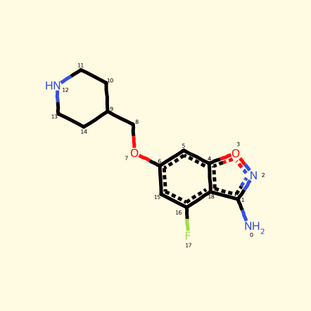 Nc1noc2cc(OCC3CCNCC3)cc(F)c12